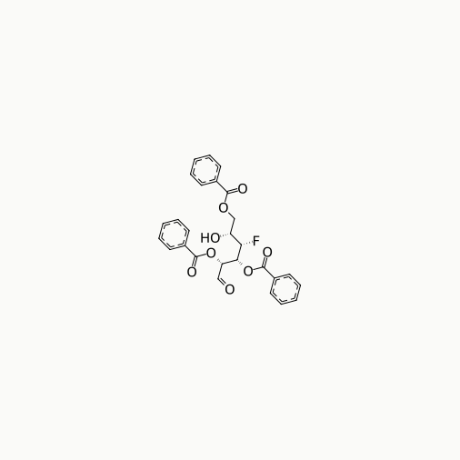 O=C[C@H](OC(=O)c1ccccc1)[C@@H](OC(=O)c1ccccc1)[C@@H](F)[C@H](O)COC(=O)c1ccccc1